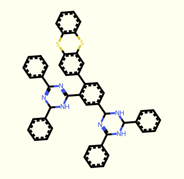 c1ccc(C2=NC(c3ccccc3)NC(c3cc(C4N=C(c5ccccc5)NC(c5ccccc5)N4)ccc3-c3ccc4c(c3)Sc3ccccc3S4)=N2)cc1